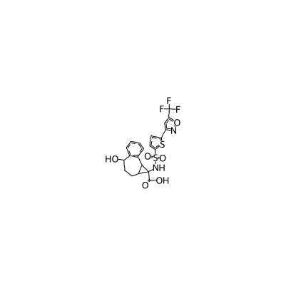 O=C(O)C1(NS(=O)(=O)c2ccc(-c3cc(C(F)(F)F)on3)s2)C2CCC(O)c3ccccc3C21